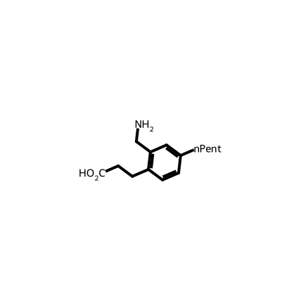 CCCCCc1ccc(CCC(=O)O)c(CN)c1